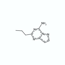 CCCc1nc(N)n2nccc2n1